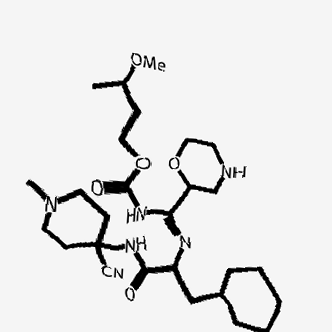 COC(C)CCOC(=O)NC(=NC(CC1CCCCC1)C(=O)NC1(C#N)CCN(C)CC1)C1CNCCO1